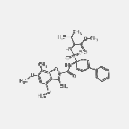 COC(=O)C(NS(=O)(=O)C1(NC(=O)c2oc3c(C)c(OC)cc(OC)c3c2C)C=CC(c2ccccc2)=CC1)C(C)C